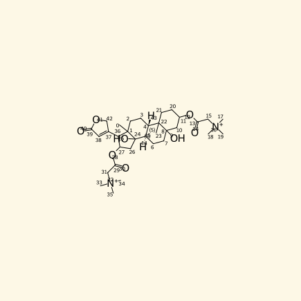 CC12CC[C@H]3[C@@H](CCC4(O)CC(OC(=O)C[N+](C)(C)C)CCC34C)C1(O)CC(OC(=O)C[N+](C)(C)C)C2C1=CC(=O)OC1